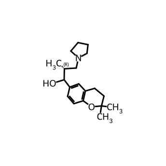 C[C@H](CN1CCCC1)C(O)c1ccc2c(c1)CCC(C)(C)O2